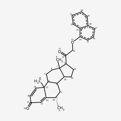 C[C@H]1CC2C(CCC3(C)C(C(=O)COc4cccc5ccccc45)CCC23)C2(C)C=CC(=O)C=C12